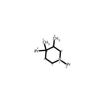 CC(C)N1CCC(C)(C(C)C)C(C)C1